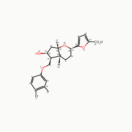 CCc1ccc(OC[C@@H]2[C@H]3CC[C@H](c4ccc(C(=O)O)o4)O[C@H]3C[C@@H]2O)cc1C